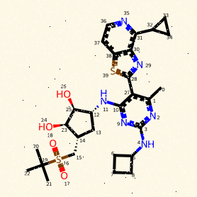 Cc1nc(NC2CCC2)nc(N[C@@H]2C[C@H](CS(=O)(=O)C(C)(C)C)[C@@H](O)[C@H]2O)c1-c1nc2c(C3CC3)nccc2s1